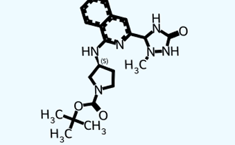 CN1NC(=O)NC1c1cc2ccccc2c(N[C@H]2CCN(C(=O)OC(C)(C)C)C2)n1